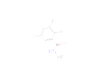 CCCNC(=O)c1cc(I)cc(I)c1I